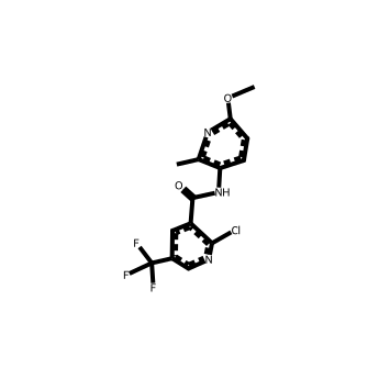 COc1ccc(NC(=O)c2cc(C(F)(F)F)cnc2Cl)c(C)n1